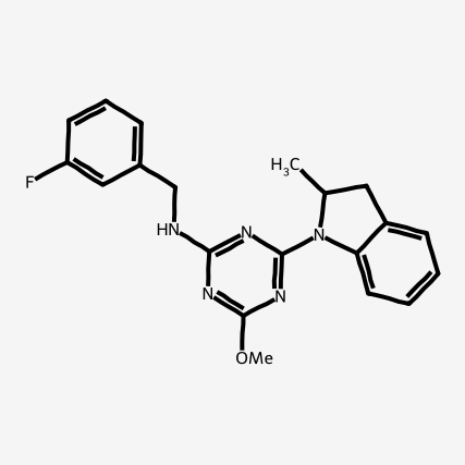 COc1nc(NCc2cccc(F)c2)nc(N2c3ccccc3CC2C)n1